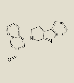 O=Cc1cc(N2CCC3C(=Nc4ccccc43)C2)c2ccccc2c1